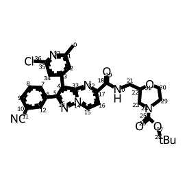 Cc1cc(-c2c(-c3cccc(C#N)c3)nn3ccc(C(=O)NCC4CN(C(=O)OC(C)(C)C)CCO4)nc23)cc(Cl)n1